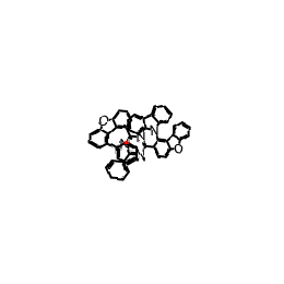 C1=CC(c2nc(-c3ccc4oc5ccccc5c4c3-n3c4ccccc4c4ccccc43)nc(-c3cccc4oc5cccc(-c6ccccc6)c5c34)n2)=CCC1